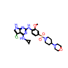 COc1cc(S(=O)(=O)N2CCC(N3CCOCC3)CC2)ccc1Nc1nc(NC2CC2)c2c(Cl)c[nH]c2n1